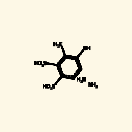 Cc1c(O)ccc(S(=O)(=O)O)c1S(=O)(=O)O.N.N